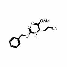 COC(=O)[C@H](CCC#N)NC(=O)OCc1ccccc1